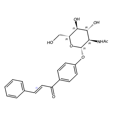 CC(=O)N[C@H]1[C@H](Oc2ccc(C(=O)/C=C/c3ccccc3)cc2)O[C@H](CO)[C@@H](O)[C@@H]1O